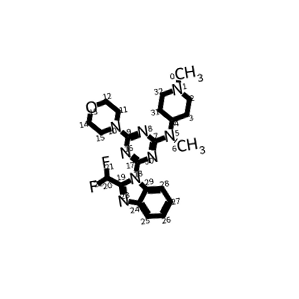 CN1CCC(N(C)c2nc(N3CCOCC3)nc(-n3c(C(F)F)nc4ccccc43)n2)CC1